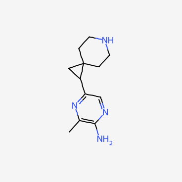 Cc1nc(C2CC23CCNCC3)cnc1N